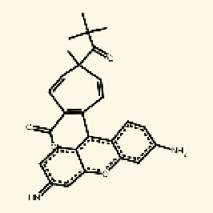 CC(C)(C)C(=O)C1(C)C=CC(C(=O)O)=C(c2c3ccc(=N)cc-3oc3cc(N)ccc23)C=C1